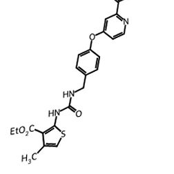 CCOC(=O)c1c(C)csc1NC(=O)NCc1ccc(Oc2ccnc(C(=O)NC)c2)cc1